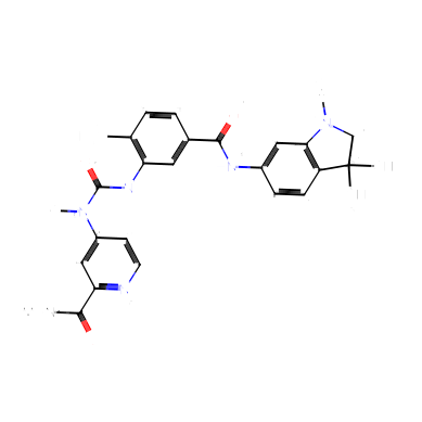 CNC(=O)c1cc(N(C)C(=O)Nc2cc(C(=O)Nc3ccc4c(c3)N(C(C)=O)CC4(C)C)ccc2C)ccn1